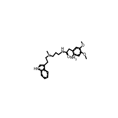 COc1cc(N)c(CC(=O)NCCCN(C)CCc2c[nH]c3ccccc23)cc1OC